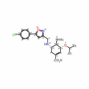 CCC(CC)O[C@@H]1C=C(C(=O)O)C[C@H](NCc2cc(-c3ccc(Cl)cc3)on2)[C@H]1NC(C)=O